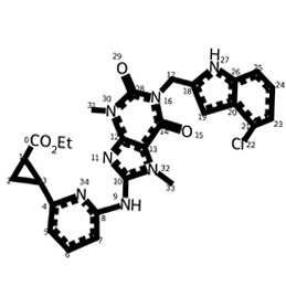 CCOC(=O)C1CC1c1cccc(Nc2nc3c(c(=O)n(Cc4cc5c(Cl)cccc5[nH]4)c(=O)n3C)n2C)n1